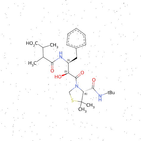 CC(C(=O)O)C(C)C(=O)N[C@@H](Cc1ccccc1)[C@H](O)C(=O)N1CSC(C)(C)[C@H]1C(=O)NC(C)(C)C